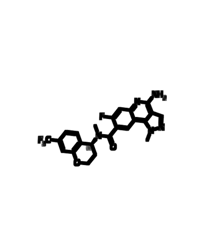 CN(C(=O)c1cc2c(cc1F)nc(N)c1cnn(C)c12)[C@H]1CCOc2cc(C(F)(F)F)ccc21